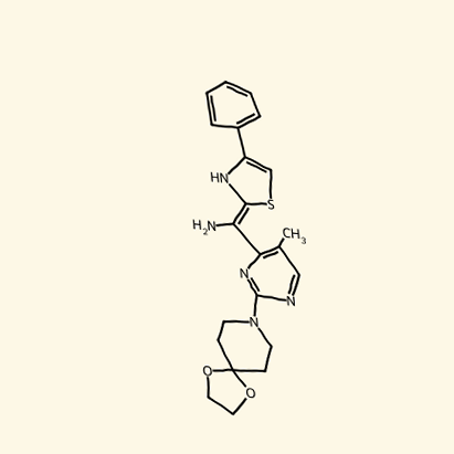 Cc1cnc(N2CCC3(CC2)OCCO3)nc1/C(N)=C1/NC(c2ccccc2)=CS1